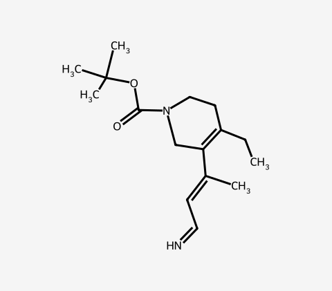 CCC1=C(/C(C)=C/C=N)CN(C(=O)OC(C)(C)C)CC1